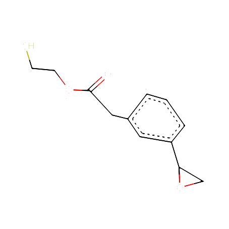 O=C(Cc1cccc(C2CO2)c1)OCCS